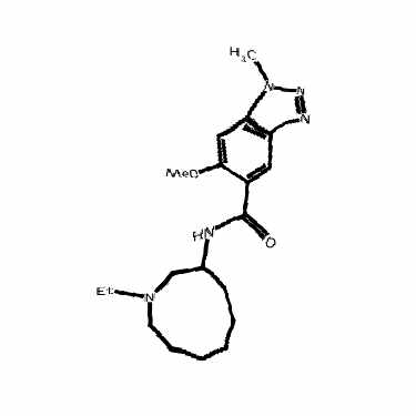 CCN1CCCCCCC(NC(=O)c2cc3nnn(C)c3cc2OC)C1